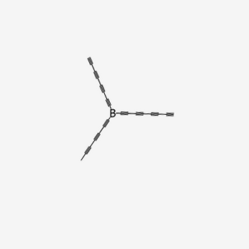 C#CC#CC#CC#CB(C#CC#CC#CC)C#CC#CC#CC#C